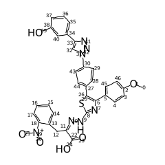 COc1ccc(-c2nc(NN=C(Cc3ccccc3[N+](=O)[O-])C(=O)O)sc2-c2ccc(-n3cc(-c4cccc(O)c4)nn3)cc2)cc1